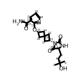 CC(C)(O)CCC1NC(=O)N([C@H]2CC3(C[C@H](Oc4ncccc4C(N)=O)C3)C2)C1=O